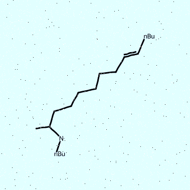 CCCCC=CCCCCCCC(C)[N]CCCC